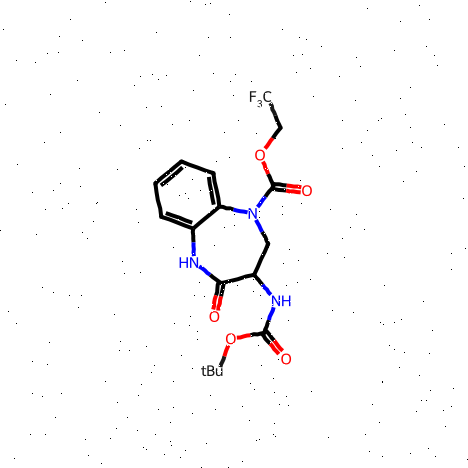 CC(C)(C)OC(=O)NC1CN(C(=O)OCC(F)(F)F)c2ccccc2NC1=O